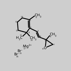 CC1=C(C=CC2(C)CO2)C(C)(C)CCC1.[Br-].[Br-].[Mg+2]